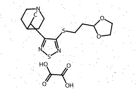 C1COC(CCSc2nsnc2C2CN3CCC2CC3)O1.O=C(O)C(=O)O